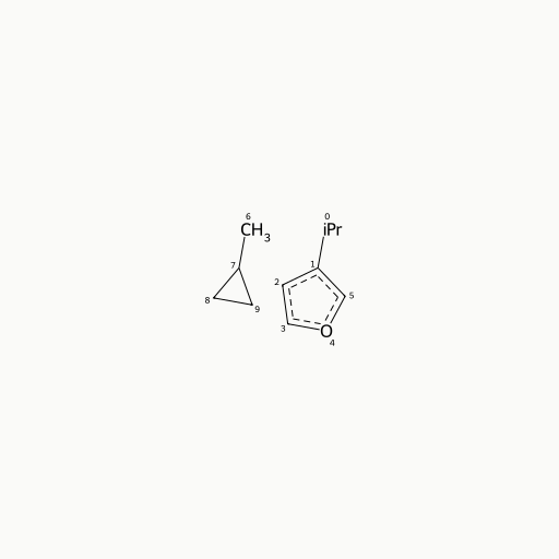 CC(C)c1ccoc1.CC1CC1